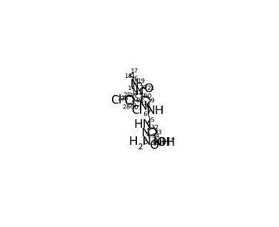 Nc1nc(NCCNc2ccc(N3CCN(C4CC4)CC3=O)c(-c3ccc(Cl)cc3Cl)n2)ccc1[NH+]([O-])O